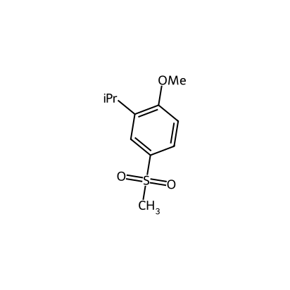 COc1ccc(S(C)(=O)=O)cc1C(C)C